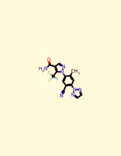 Cc1cc(-n2nccn2)c(C#N)cc1-n1ncc(C(N)=O)c1C(F)(F)F